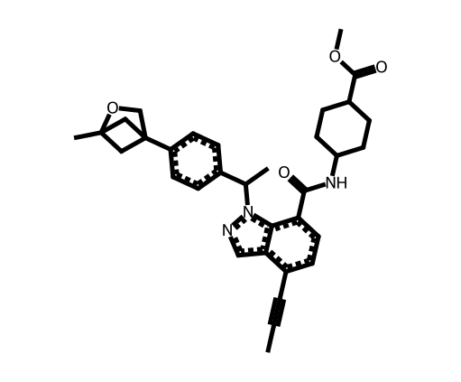 CC#Cc1ccc(C(=O)NC2CCC(C(=O)OC)CC2)c2c1cnn2C(C)c1ccc(C23COC(C)(C2)C3)cc1